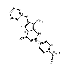 Cc1c(Cc2ccccc2)nn2c(=O)cc(-c3ccc([N+](=O)[O-])cc3)[nH]c12